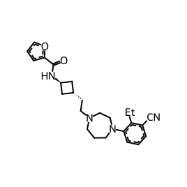 CCc1c(C#N)cccc1N1CCCN(CC[C@H]2C[C@H](NC(=O)c3ccco3)C2)CC1